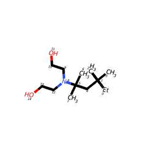 CCC(C)(C)CC(C)(C)N(CCO)CCO